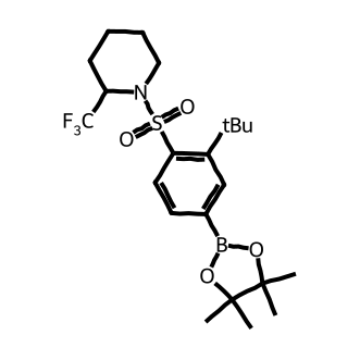 CC(C)(C)c1cc(B2OC(C)(C)C(C)(C)O2)ccc1S(=O)(=O)N1CCCCC1C(F)(F)F